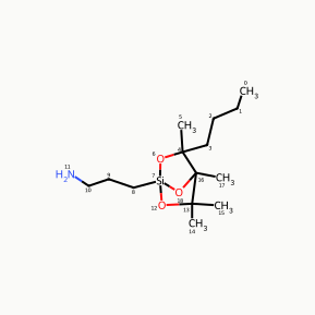 CCCCC1(C)O[Si]2(CCCN)OC(C)(C)C1(C)O2